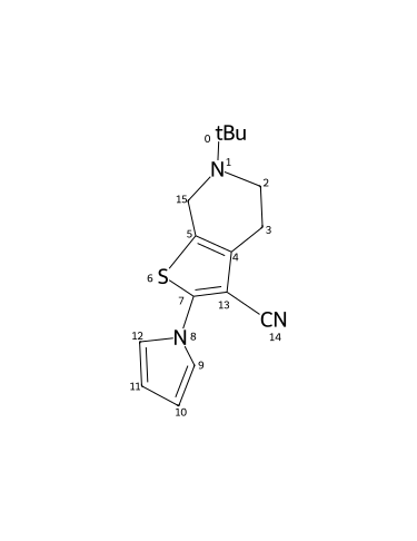 CC(C)(C)N1CCc2c(sc(-n3cccc3)c2C#N)C1